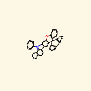 c1ccc(-n2c3cc4c(cc3c3ccc5ccccc5c32)C2(c3ccccc3O4)c3ccccc3-c3ccccc32)cc1